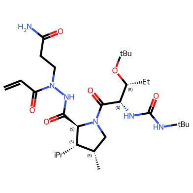 C=CC(=O)N(CCC(N)=O)NC(=O)[C@@H]1[C@@H](C(C)C)[C@@H](C)CN1C(=O)[C@@H](NC(=O)NC(C)(C)C)[C@@H](CC)OC(C)(C)C